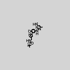 CNc1cc(C)nc(Nc2ccc(OC)c(-n3cc(CNC(=O)OC(C)(C)C)cn3)c2)n1